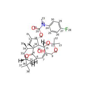 CC1=C[C@]23C(=O)[C@@H](C=C4COC(C)(C)O[C@H]4[C@]2(O)[C@H]1OC(=O)N(C)c1ccc(F)cc1)[C@H]1[C@@H](C[C@H]3C)C1(C)C